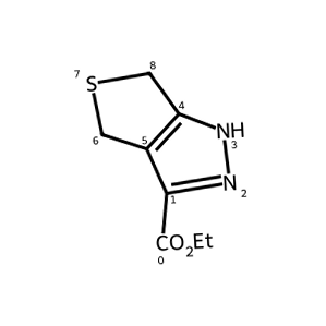 CCOC(=O)c1n[nH]c2c1CSC2